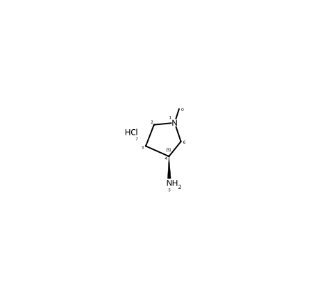 CN1CC[C@H](N)C1.Cl